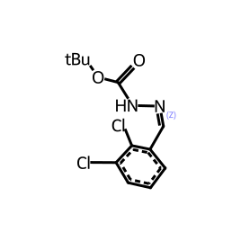 CC(C)(C)OC(=O)N/N=C\c1cccc(Cl)c1Cl